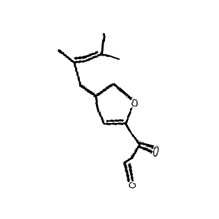 CC(C)=C(C)CC1C=C(C(=O)C=O)OC1